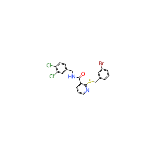 O=C(NCc1ccc(Cl)c(Cl)c1)c1cccnc1SCc1cccc(Br)c1